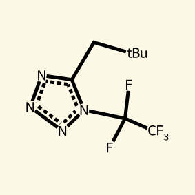 CC(C)(C)Cc1nnnn1C(F)(F)C(F)(F)F